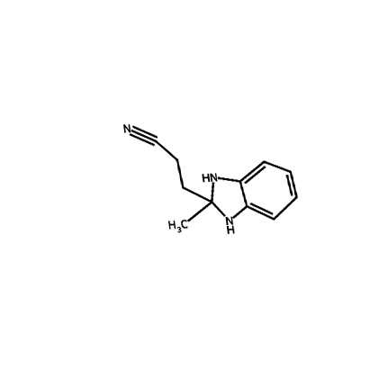 CC1(CCC#N)Nc2ccccc2N1